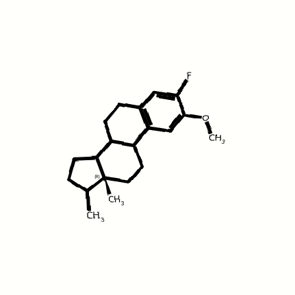 COc1cc2c(cc1F)CCC1C2CC[C@]2(C)C(C)CCC12